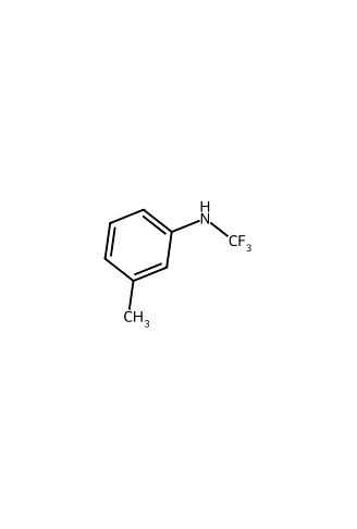 Cc1cccc(NC(F)(F)F)c1